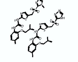 Cc1ccc(NC(=O)Nc2ncc(CS(=O)(=O)c3nnc[nH]3)s2)c(OCC(C)C)c1.Cc1ccc(NC(=O)Nc2ncc(CS(=O)(=O)c3nncn3C)s2)c(OCC(C)C)c1